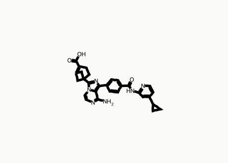 Nc1nccn2c(C34CCC(C(=O)O)=C(C3)C4)nc(-c3ccc(C(=O)Nc4cc(C5CC5)ccn4)cc3)c12